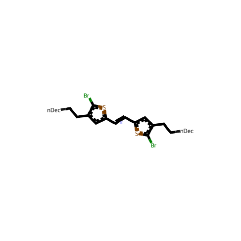 CCCCCCCCCCCCc1cc(/C=C/c2cc(CCCCCCCCCCCC)c(Br)s2)sc1Br